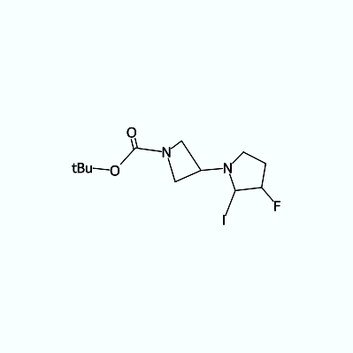 CC(C)(C)OC(=O)N1CC(N2CCC(F)C2I)C1